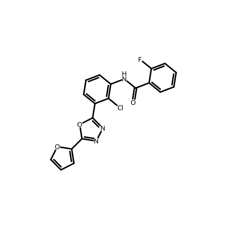 O=C(Nc1cccc(-c2nnc(-c3ccco3)o2)c1Cl)c1ccccc1F